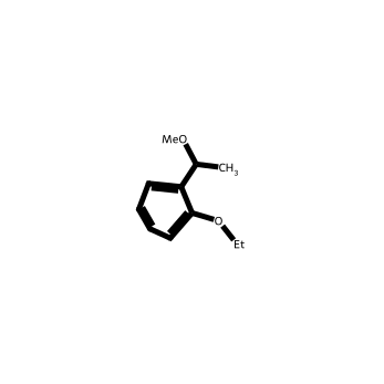 CCOc1ccccc1[C](C)OC